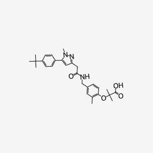 Cc1cc(CNC(=O)Cc2cc(-c3ccc(C(C)(C)C)cc3)n(C)n2)ccc1OC(C)(C)C(=O)O